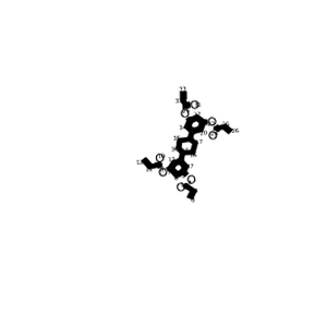 C=CC(=O)Oc1cc(OC(=O)C=C)cc(C2CCC(c3cc(OC(=O)C=C)cc(OC(=O)C=C)c3)CC2)c1